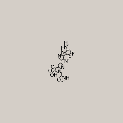 CNc1cc(F)c(F)c2c1[nH]c1ncc(-c3cnc4c(c3)c(=O)c(C(=O)O)cn4CC3COCCN3)c(N(C)C)c12